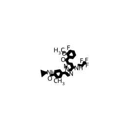 COc1c(F)cccc1C(=O)c1cc(NCCC(F)(F)F)c2ncc(-c3ccc(C(=O)NC4CC4)c(C)c3)n2n1